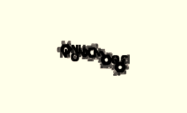 O=C(Nc1cccnc1)N1CC2(CCN(Cc3cccc(Oc4ccccc4Cl)c3)CC2)C1